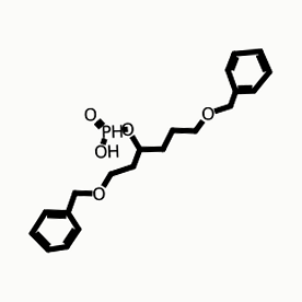 O=[PH](O)OC(CCCOCc1ccccc1)CCOCc1ccccc1